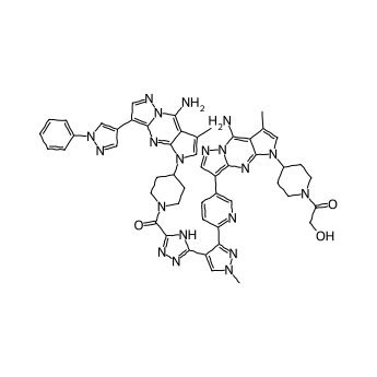 Cc1cn(C2CCN(C(=O)CO)CC2)c2nc3c(-c4ccc(-c5nn(C)cc5-c5nnc(C(=O)N6CCC(n7cc(C)c8c(N)n9ncc(-c%10cnn(-c%11ccccc%11)c%10)c9nc87)CC6)[nH]5)nc4)cnn3c(N)c12